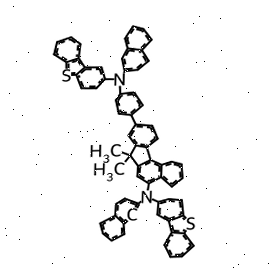 CC1(C)c2cc(-c3ccc(N(c4ccc5ccccc5c4)c4ccc5sc6ccccc6c5c4)cc3)ccc2-c2c1cc(N(c1ccc3ccccc3c1)c1ccc3sc4ccccc4c3c1)c1ccccc21